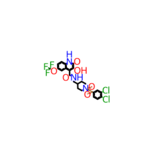 O=C(NCC1CCN(S(=O)(=O)c2ccc(Cl)c(Cl)c2)CC1)c1c(O)c(=O)[nH]c2ccc(OC(F)(F)F)cc12